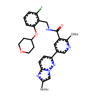 COc1ncc(-c2ccc3nc(NC(C)=O)cn3n2)cc1C(=O)NCc1c(F)cccc1OC1CCOCC1